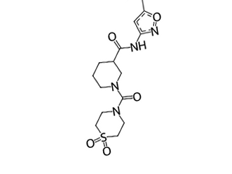 CC(C)(C)c1cc(NC(=O)C2CCCN(C(=O)N3CCS(=O)(=O)CC3)C2)no1